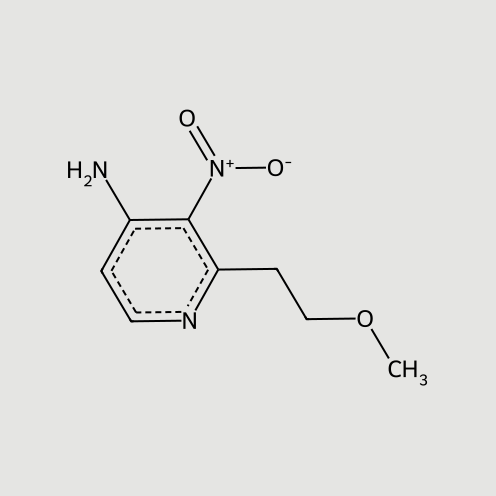 COCCc1nccc(N)c1[N+](=O)[O-]